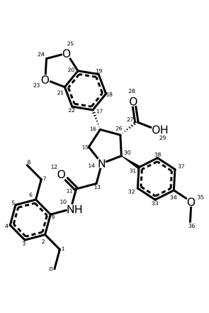 CCc1cccc(CC)c1NC(=O)CN1C[C@H](c2ccc3c(c2)OCO3)[C@H](C(=O)O)[C@H]1c1ccc(OC)cc1